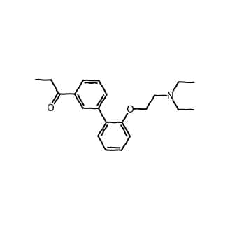 CCC(=O)c1cccc(-c2ccccc2OCCN(CC)CC)c1